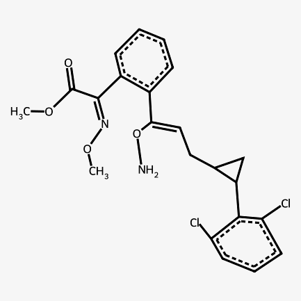 CON=C(C(=O)OC)c1ccccc1C(=CCC1CC1c1c(Cl)cccc1Cl)ON